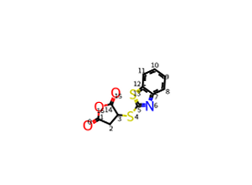 O=C1CC(Sc2nc3ccccc3s2)C(=O)O1